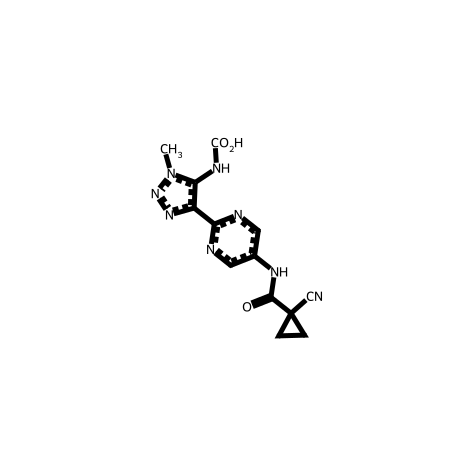 Cn1nnc(-c2ncc(NC(=O)C3(C#N)CC3)cn2)c1NC(=O)O